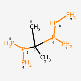 CC(C)(P(P)P)P(P)PP